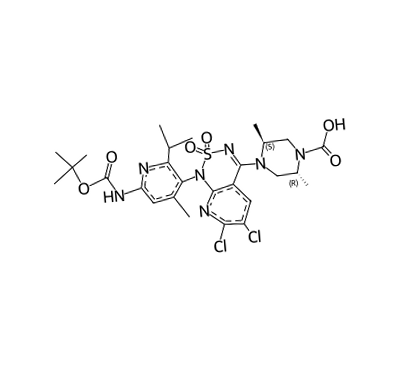 Cc1cc(NC(=O)OC(C)(C)C)nc(C(C)C)c1N1c2nc(Cl)c(Cl)cc2C(N2C[C@@H](C)N(C(=O)O)C[C@@H]2C)=NS1(=O)=O